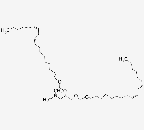 CCCCC/C=C\C/C=C\CCCCCCCCOCOCC(CN(C)C)OCOCCCCCCCC/C=C\C/C=C\CCCCC